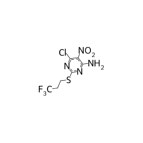 Nc1nc(SCCC(F)(F)F)nc(Cl)c1[N+](=O)[O-]